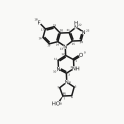 O=c1[nH]c(N2CC[C@@H](O)C2)ncc1-n1c2ccc(F)cc2c2[nH]ncc21